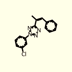 C/C(=C/c1ccccc1)c1nnn(-c2cccc(Cl)c2)n1